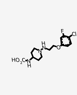 O=C(O)NC1CCN(NCCOc2ccc(Cl)c(F)c2)CC1